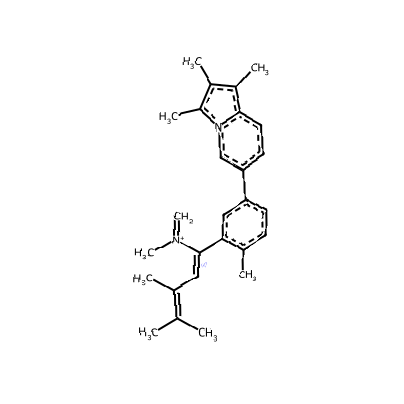 C=[N+](C)/C(=C\C(C)=C(C)C)c1cc(-c2ccc3c(C)c(C)c(C)n3c2)ccc1C